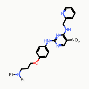 CCN(CC)CCCOc1ccc(Nc2ncc([N+](=O)[O-])c(NCc3ccccn3)n2)cc1